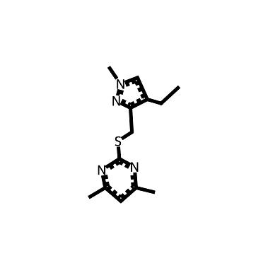 CCc1cn(C)nc1CSc1nc(C)cc(C)n1